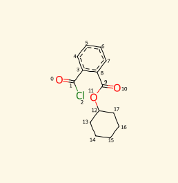 O=C(Cl)c1ccccc1C(=O)OC1CCCCC1